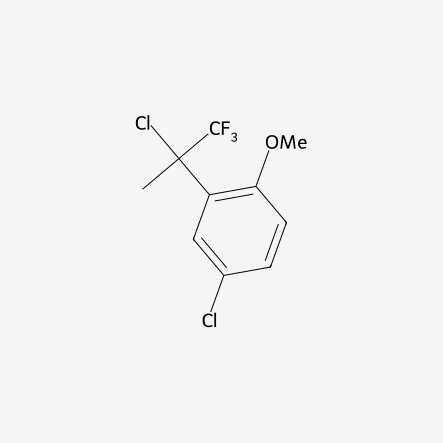 COc1ccc(Cl)cc1C(C)(Cl)C(F)(F)F